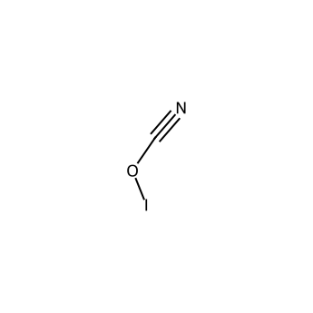 N#COI